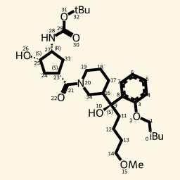 CCC(C)COc1ccccc1[C@](O)(CCCCOC)C1CCCN(C(=O)[C@@H]2C[C@H](O)[C@H](NC(=O)OC(C)(C)C)C2)C1